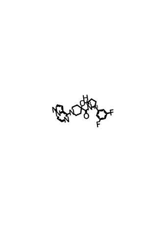 O=C1N2[C@@H](CC[C@H]2c2cc(F)cc(F)c2)OC12CCN(c1nccn3nccc13)CC2